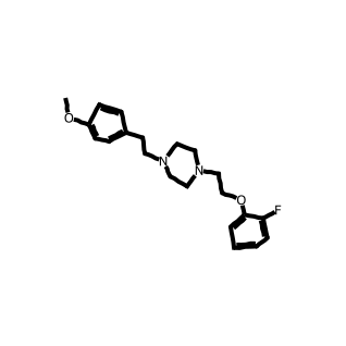 COc1ccc(CCN2CCN(CCOc3ccccc3F)CC2)cc1